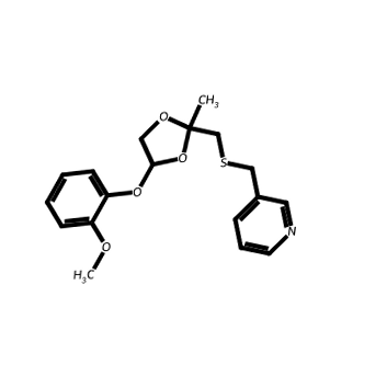 COc1ccccc1OC1COC(C)(CSCc2cccnc2)O1